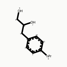 [CH2]CCc1ccc(CC(O)CO)cc1